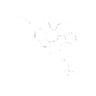 Cc1cc(-c2c(-c3c(C(F)F)nn4c3OC[C@@H](OCC(=O)O)C4)n(COCC[Si](C)(C)C)c3ncccc23)c(C#N)s1